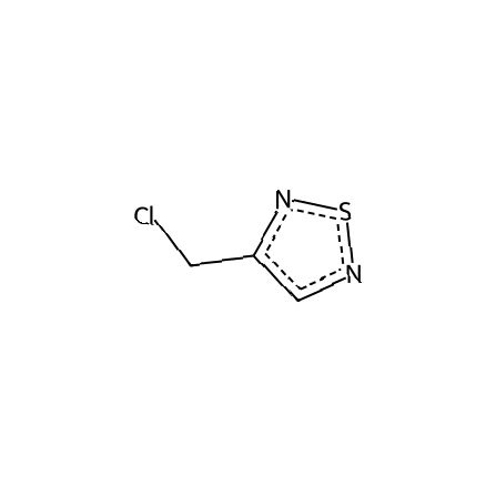 ClCc1cnsn1